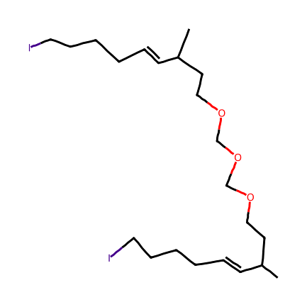 CC(C=CCCCCI)CCOCOCOCCC(C)C=CCCCCI